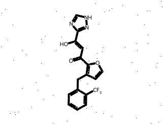 O=C(C=C(O)c1nc[nH]n1)c1occc1Cc1ccccc1C(F)(F)F